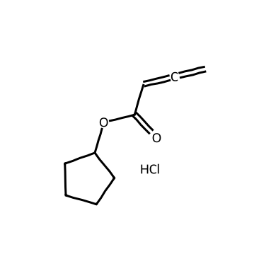 C=C=CC(=O)OC1CCCC1.Cl